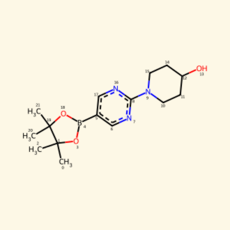 CC1(C)OB(c2cnc(N3CCC(O)CC3)nc2)OC1(C)C